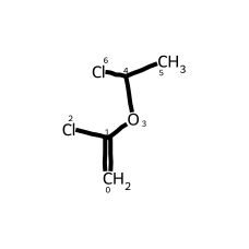 C=C(Cl)OC(C)Cl